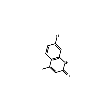 Cc1cc(=O)[nH]c2cc(Cl)[c]cc12